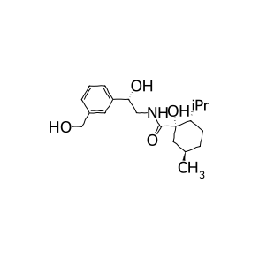 CC(C)[C@@H]1CC[C@@H](C)C[C@@]1(O)C(=O)NC[C@@H](O)c1cccc(CO)c1